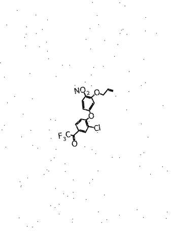 C=CCOc1cc(Oc2ccc(C(=O)C(F)(F)F)cc2Cl)ccc1[N+](=O)[O-]